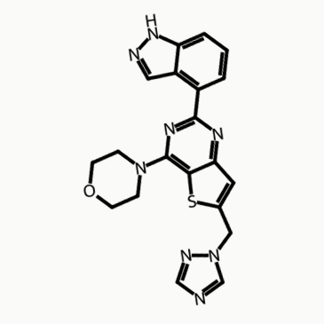 c1cc(-c2nc(N3CCOCC3)c3sc(Cn4cncn4)cc3n2)c2cn[nH]c2c1